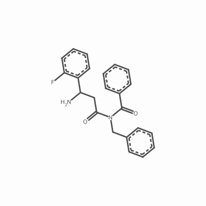 NC(CC(=O)N(Cc1ccccc1)C(=O)c1ccccc1)c1ccccc1F